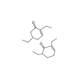 CCC1=CCC(CC)CC1=O.CCC1=CCCC(CC)C1=O